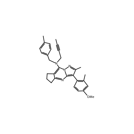 CC#CCN(Cc1ccc(C)cc1)c1c2c(nc3c(-c4ccc(OC)cc4C)c(C)nn13)CCC2